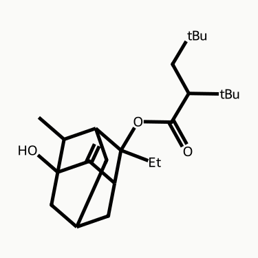 C=C1C2CC3CC(C(C)C1(O)C3)C2(CC)OC(=O)C(CC(C)(C)C)C(C)(C)C